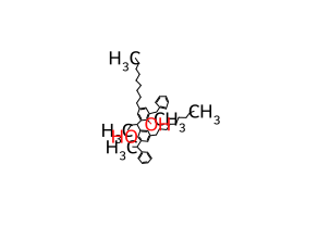 CCCCCCCCCc1cc(C(C)c2ccccc2)c(O)c(C(CC)c2cc(CCCCCCCCC)cc(C(C)c3ccccc3)c2O)c1